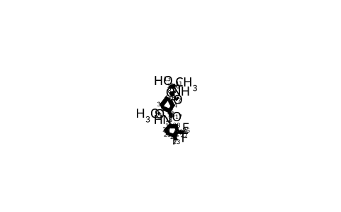 COc1ccc(S(=O)(=O)NC(C)CO)cc1C(=O)Nc1ccc(F)c(C(F)F)c1